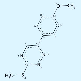 COc1ccc(-c2cnc(SC)nn2)cc1